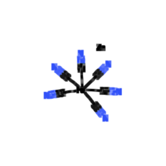 N#[C][Fe]([C]#N)([C]#N)([C]#N)([C]#N)[C]#N.[Zn]